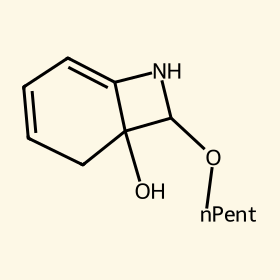 CCCCCOC1NC2=CC=CCC21O